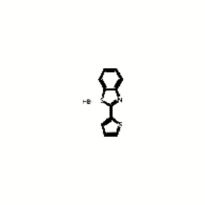 Br.c1csc(-c2nc3ccccc3s2)c1